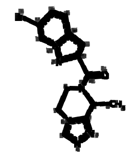 CC1c2nncn2CCN1C(=O)c1cc2ccc(Br)cn2n1